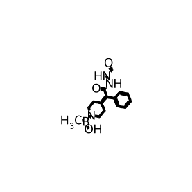 CB(O)N1CCC(=C(C(=O)NNC=O)c2ccccc2)CC1